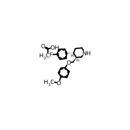 CC(=O)O.COc1ccc(OC[C@@H]2CNCC[C@H]2c2ccc(F)cc2)cc1